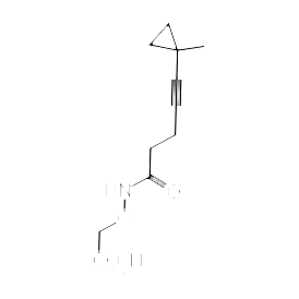 CC1(C#CCCC(=O)NOCC(=O)O)CC1